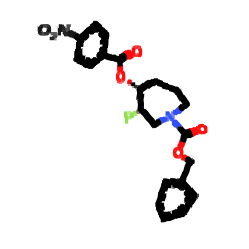 O=C(O[C@@H]1CCCN(C(=O)OCc2ccccc2)C[C@@H]1F)c1ccc([N+](=O)[O-])cc1